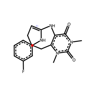 Cn1c2c(c(=O)n(C)c1=O)N/C(Nc1cccc(F)c1)=C/CCC2